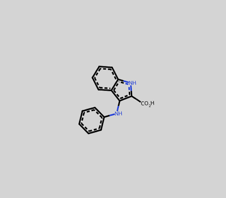 O=C(O)c1[nH]c2ccccc2c1Nc1ccccc1